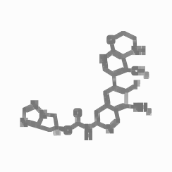 Cc1c(-c2cc3cc(NC(=O)O[C@H]4Cc5ncnn5C4)ncc3c(N)c2F)cnc2c1NCCO2